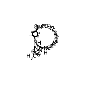 CS(=O)(=O)c1nc2cc(n1)Nc1ccc(cc1)C(=O)NCCCOCCCCOCCCN2